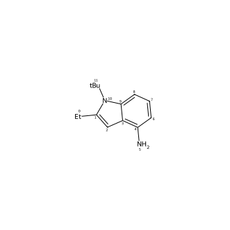 CCc1cc2c(N)cccc2n1C(C)(C)C